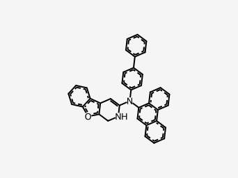 C1=C(N(c2ccc(-c3ccccc3)cc2)c2cc3ccccc3c3ccccc23)NCc2oc3ccccc3c21